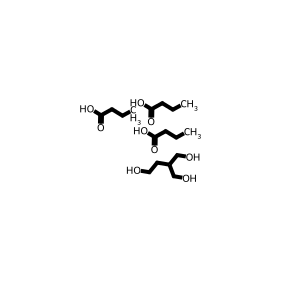 CCCC(=O)O.CCCC(=O)O.CCCC(=O)O.OCCC(CO)CO